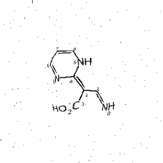 N=C/C(C(=O)O)=C1/N=CC=CN1